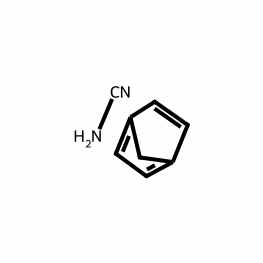 C1=CC2=CC=C1C2.N#CN